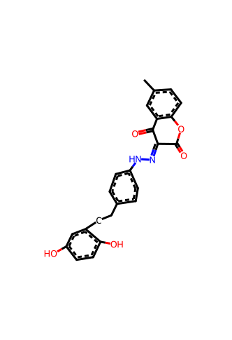 Cc1ccc2c(c1)C(=O)C(=NNc1ccc(CCc3cc(O)ccc3O)cc1)C(=O)O2